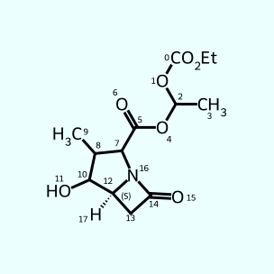 CCOC(=O)OC(C)OC(=O)C1C(C)C(O)[C@@H]2CC(=O)N12